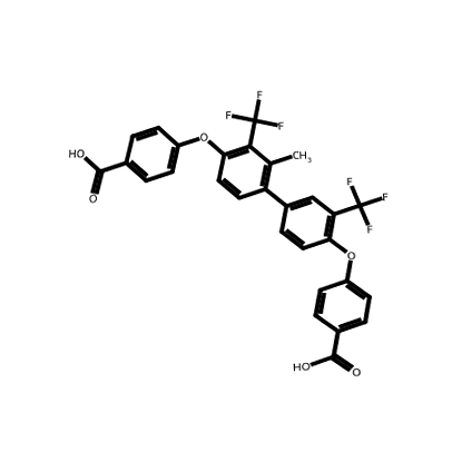 Cc1c(-c2ccc(Oc3ccc(C(=O)O)cc3)c(C(F)(F)F)c2)ccc(Oc2ccc(C(=O)O)cc2)c1C(F)(F)F